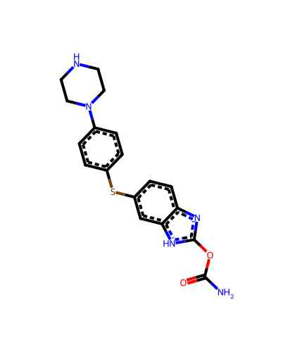 NC(=O)Oc1nc2ccc(Sc3ccc(N4CCNCC4)cc3)cc2[nH]1